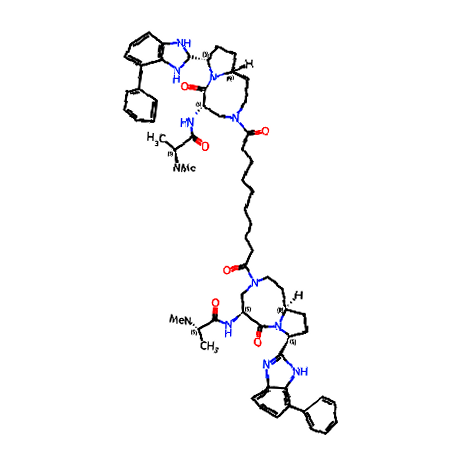 CN[C@@H](C)C(=O)N[C@H]1CN(C(=O)CCCCCCCCC(=O)N2CC[C@H]3CC[C@@H](C4Nc5cccc(-c6ccccc6)c5N4)N3C(=O)[C@@H](NC(=O)[C@H](C)NC)C2)CC[C@H]2CC[C@@H](c3nc4cccc(-c5ccccc5)c4[nH]3)N2C1=O